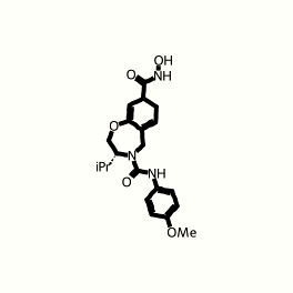 COc1ccc(NC(=O)N2CC3=CCC(C(=O)NO)C=C3OC[C@H]2C(C)C)cc1